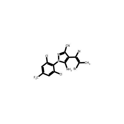 CC(Br)=C(Br)c1c(C#N)nn(-c2c(Cl)cc(C(F)(F)F)cc2Cl)c1N